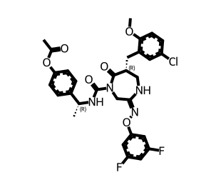 COc1ccc(Cl)cc1C[C@@H]1CNC(=NOc2cc(F)cc(F)c2)CN(C(=O)N[C@H](C)c2ccc(OC(C)=O)cc2)C1=O